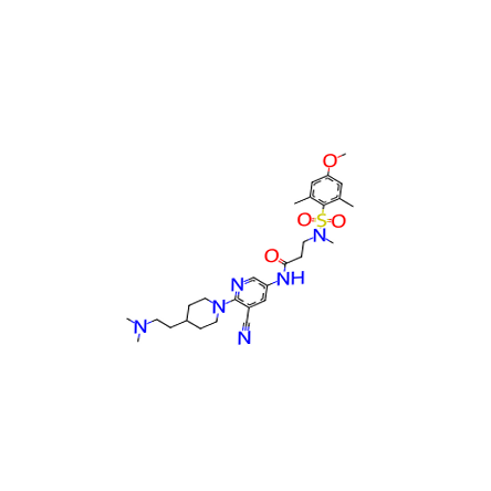 COc1cc(C)c(S(=O)(=O)N(C)CCC(=O)Nc2cnc(N3CCC(CCN(C)C)CC3)c(C#N)c2)c(C)c1